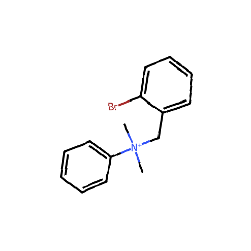 C[N+](C)(Cc1ccccc1Br)c1ccccc1